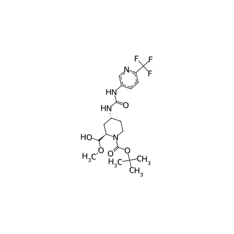 COC(O)[C@H]1C[C@H](NC(=O)Nc2ccc(C(F)(F)F)nc2)CCN1C(=O)OC(C)(C)C